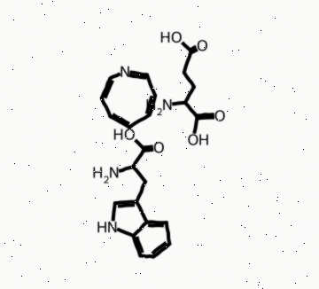 C1=CC=CN=CC=C1.NC(CCC(=O)O)C(=O)O.NC(Cc1c[nH]c2ccccc12)C(=O)O